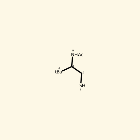 CC(=O)NC(CS)C(C)(C)C